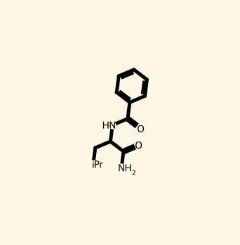 CC(C)CC(NC(=O)c1ccccc1)C(N)=O